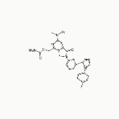 CNC(=O)OCc1nc(N(C)C(C)C)cc2c1CN(c1cccc(-c3nncn3-c3ccc(C)cc3)n1)C2=O